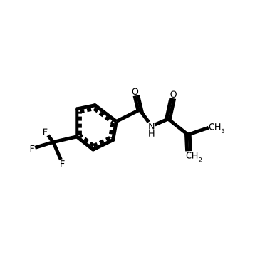 C=C(C)C(=O)NC(=O)c1ccc(C(F)(F)F)cc1